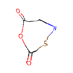 O=C1C[N]SC(=O)O1